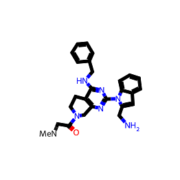 CNCC(=O)N1CCc2c(nc(-n3c(CN)cc4ccccc43)nc2NCc2ccccc2)C1